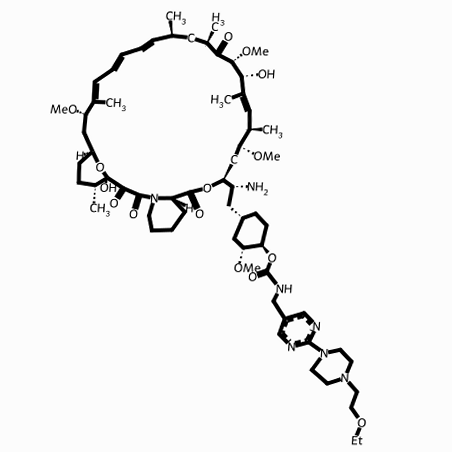 CCOCCN1CCN(c2ncc(CNC(=O)O[C@@H]3CC[C@@H](C[C@@H](N)[C@@H]4C[C@@H](OC)[C@H](C)/C=C(\C)[C@@H](O)[C@@H](OC)C(=O)[C@H](C)C[C@H](C)/C=C/C=C/C=C(\C)[C@@H](OC)C[C@@H]5CC[C@@H](C)[C@@](O)(O5)C(=O)C(=O)N5CCCC[C@H]5C(=O)O4)C[C@H]3OC)cn2)CC1